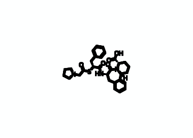 O=C(CN1CCCC1)S[C@@H](Cc1ccccc1)C(=O)N[C@H]1Cc2ccccc2[C@H]2CCC[C@@H](C(=O)O)N2C1=O